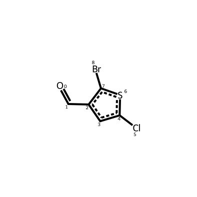 O=Cc1cc(Cl)sc1Br